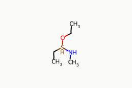 CCO[SH](CC)NC